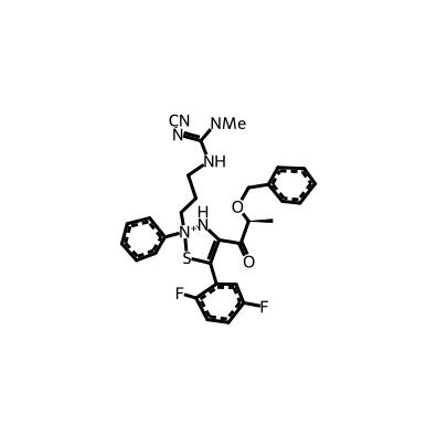 CNC(=NC#N)NCCC[N+]1(c2ccccc2)NC(C(=O)[C@H](C)OCc2ccccc2)=C(c2cc(F)ccc2F)S1